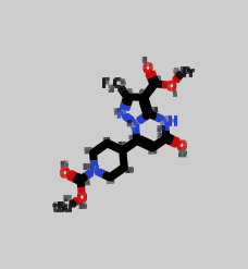 CC(C)OC(=O)c1c(C(F)(F)F)nn2c(C3CCN(C(=O)OC(C)(C)C)CC3)cc(=O)[nH]c12